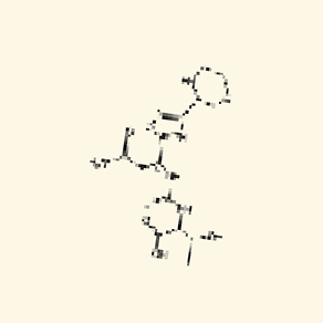 CC(O)C(NC(=O)N[C@@H](CC(N)=O)c1nc(C2COCCN2)no1)C(=O)O